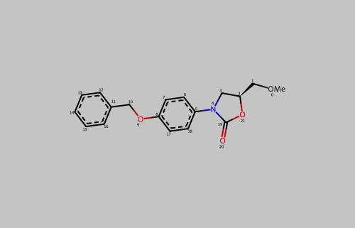 COC[C@@H]1CN(c2ccc(OCc3ccccc3)cc2)C(=O)O1